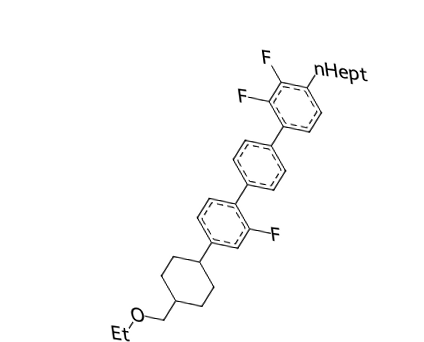 CCCCCCCc1ccc(-c2ccc(-c3ccc(C4CCC(COCC)CC4)cc3F)cc2)c(F)c1F